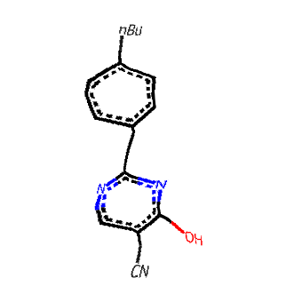 CCCCc1ccc(-c2ncc(C#N)c(O)n2)cc1